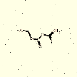 C=C(F)OS(=O)OCC(F)(F)F